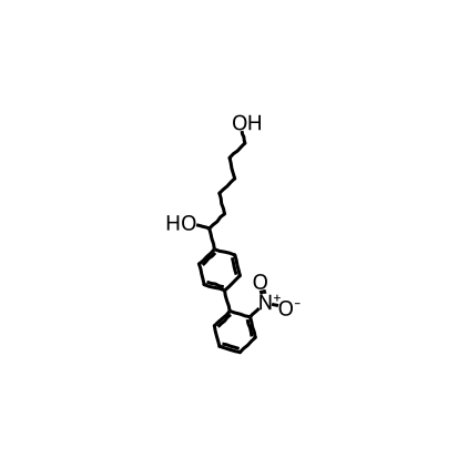 O=[N+]([O-])c1ccccc1-c1ccc(C(O)CCCCCO)cc1